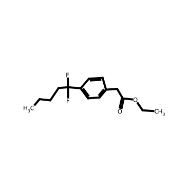 CCCCC(F)(F)c1ccc(CC(=O)OCC)cc1